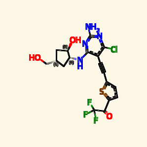 Nc1nc(Cl)c(C#Cc2ccc(C(=O)C(F)(F)F)s2)c(N[C@@H]2C[C@H](CO)C[C@H]2O)n1